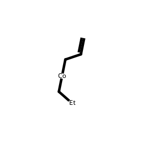 C=C[CH2][Co][CH2]CC